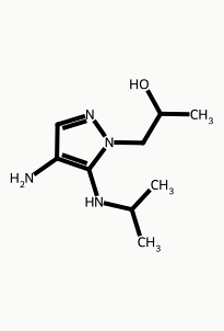 CC(O)Cn1ncc(N)c1NC(C)C